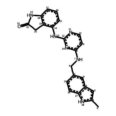 Cc1cc2cc(CNc3ccnc(Nc4cccc5c4CC(=O)N5)n3)ccc2[nH]1